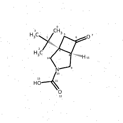 CC(C)(C)[C@]12CC(=O)[C@H]1CN(C(=O)O)C2